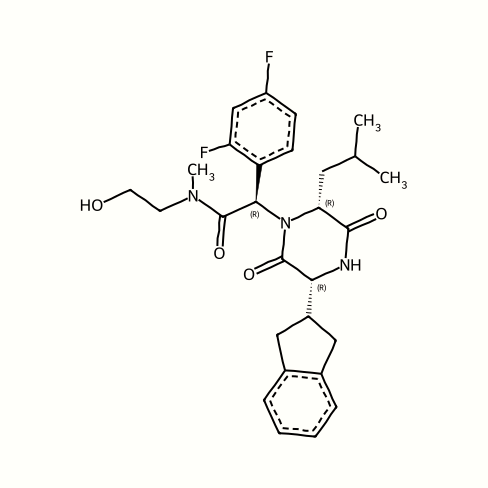 CC(C)C[C@@H]1C(=O)N[C@H](C2Cc3ccccc3C2)C(=O)N1[C@@H](C(=O)N(C)CCO)c1ccc(F)cc1F